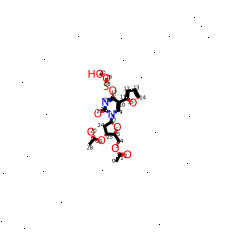 CC(=O)OCC1OC(n2cc(-c3ccco3)c(OSOO)nc2=O)CC1OC(C)=O